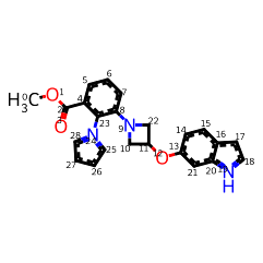 COC(=O)c1cccc(N2CC(Oc3ccc4cc[nH]c4c3)C2)c1-n1cccc1